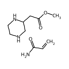 C=CC(N)=O.COC(=O)CC1CNCCN1